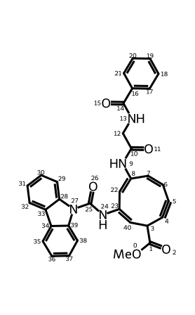 COC(=O)C1C#CC=C/C(NC(=O)CNC(=O)c2ccccc2)=C\C(NC(=O)n2c3ccccc3c3ccccc32)=C/1